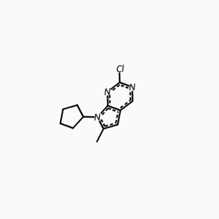 Cc1cc2cnc(Cl)nc2n1C1CCCC1